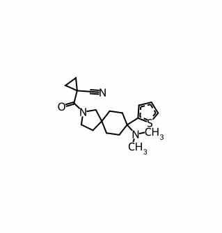 CN(C)C1(c2cccs2)CCC2(CCN(C(=O)C3(C#N)CC3)C2)CC1